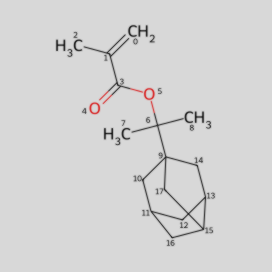 C=C(C)C(=O)OC(C)(C)C12CC3CC(C1)C(C3)C2